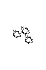 c1cscn1.c1cscn1.c1cscn1